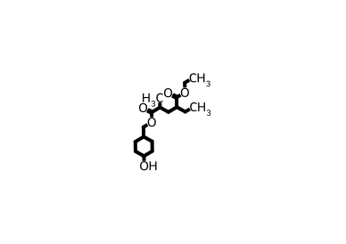 CCOC(=O)C(CC)CC(C)C(=O)OCC1CCC(O)CC1